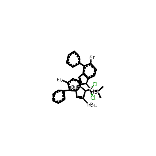 CCCCC1=Cc2c(ccc(CC)c2-c2ccccc2)[CH]1[Zr]([Cl])([Cl])([CH]1C(CCCC)=Cc2c1ccc(CC)c2-c1ccccc1)[SiH](C)C